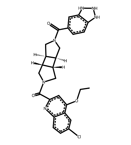 CCOc1cc(C(=O)N2C[C@@H]3[C@H]4CN(C(=O)c5ccc6c(c5)NNN6)C[C@H]4[C@@H]3C2)nc2ccc(Cl)cc12